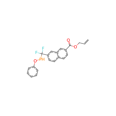 C=CCOC(=O)c1ccc2ccc(C(F)(F)POc3ccccc3)cc2c1